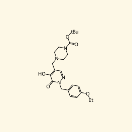 CCOc1ccc(Cn2ncc(CN3CCN(C(=O)OC(C)(C)C)CC3)c(O)c2=O)cc1